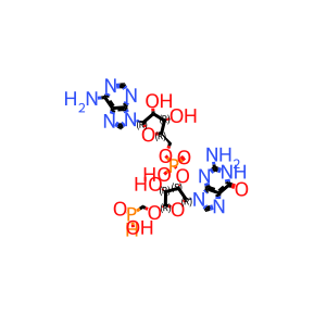 Nc1nc2c(ncn2[C@@H]2O[C@H](OC[PH](=O)O)[C@H](O)[C@@H]2OP(=O)(O)OC[C@H]2O[C@@H](n3cnc4c(N)ncnc43)C(O)[C@H]2O)c(=O)[nH]1